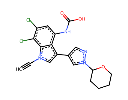 C#Cn1cc(-c2cnn(C3CCCCO3)c2)c2c(NC(=O)O)cc(Cl)c(Cl)c21